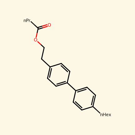 CCCCCCc1ccc(-c2ccc(CCOC(=O)CCC)cc2)cc1